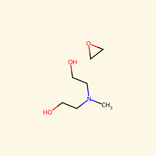 C1CO1.CN(CCO)CCO